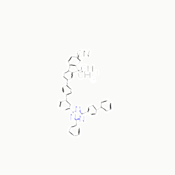 CC1(C)c2cc(C#N)ccc2-c2ccc(-c3ccc(-c4cccc(-c5nc(-c6ccccc6)nc(-c6ccc(-c7ccccc7)cc6)n5)c4)cc3)cc21